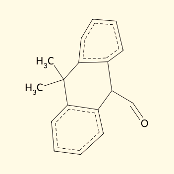 CC1(C)c2ccccc2C(C=O)c2ccccc21